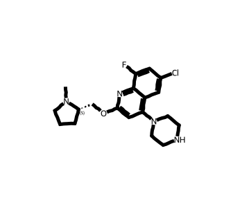 CN1CCC[C@H]1COc1cc(N2CCNCC2)c2cc(Cl)cc(F)c2n1